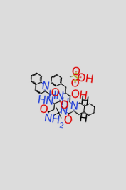 CC(C)(C)NC(=O)[C@@H]1C[C@@H]2CCCC[C@@H]2CN1CC(O)C(Cc1ccccc1)NC(=O)C(CC(N)=O)NC(=O)c1ccc2ccccc2n1.CS(=O)(=O)O